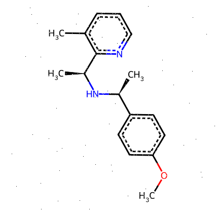 COc1ccc([C@H](C)N[C@@H](C)c2ncccc2C)cc1